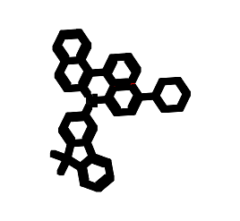 CC1(C)c2ccccc2-c2cc(N(c3ccc(C4CCCCC4)cc3)c3ccc4ccccc4c3-c3ccccc3)ccc21